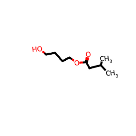 CC(C)CC(=O)OCCCCO